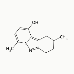 Cc1ccc(O)c2c3c(nn12)CCC(C)C3